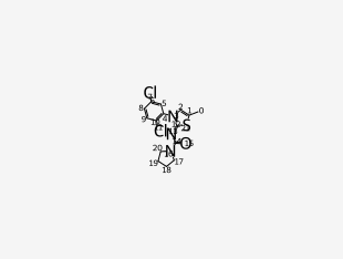 Cc1cn(-c2cc(Cl)ccc2Cl)c(=NC(=O)N2CCCC2)s1